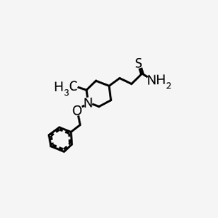 CC1CC(CCC(N)=S)CCN1OCc1ccccc1